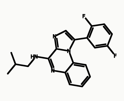 CC(C)CNc1nc2ccccc2n2c(-c3cc(F)ccc3F)cnc12